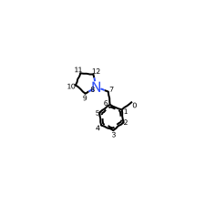 Cc1ccc[c]c1CN1CCCC1